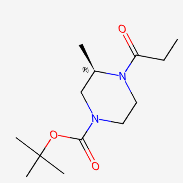 CCC(=O)N1CCN(C(=O)OC(C)(C)C)C[C@H]1C